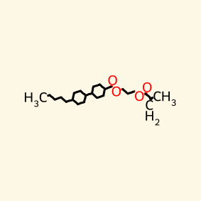 C=C(C)C(=O)OCCCOC(=O)C1CCC(C2CCC(CCCCC)CC2)CC1